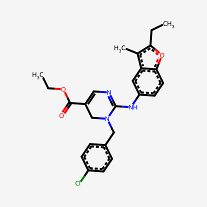 CCOC(=O)C1=CN=C(Nc2ccc3oc(CC)c(C)c3c2)N(Cc2ccc(Cl)cc2)C1